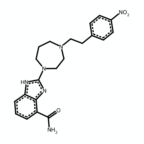 NC(=O)c1cccc2[nH]c(N3CCCN(CCc4ccc([N+](=O)[O-])cc4)CC3)nc12